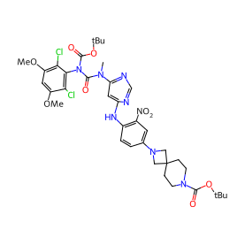 COc1cc(OC)c(Cl)c(N(C(=O)OC(C)(C)C)C(=O)N(C)c2cc(Nc3ccc(N4CC5(CCN(C(=O)OC(C)(C)C)CC5)C4)cc3[N+](=O)[O-])ncn2)c1Cl